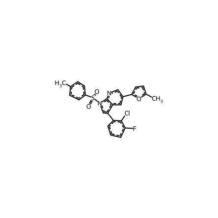 Cc1ccc(S(=O)(=O)n2cc(-c3cccc(F)c3Cl)c3cc(-c4ccc(C)o4)cnc32)cc1